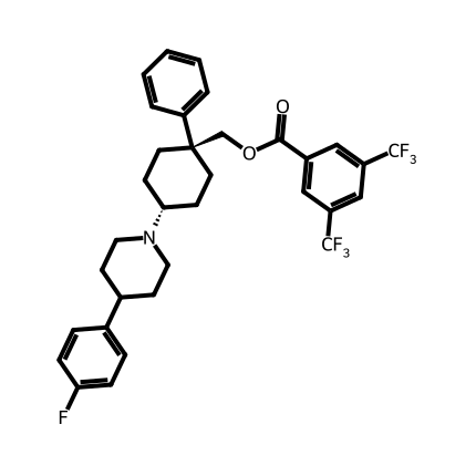 O=C(OC[C@]1(c2ccccc2)CC[C@@H](N2CCC(c3ccc(F)cc3)CC2)CC1)c1cc(C(F)(F)F)cc(C(F)(F)F)c1